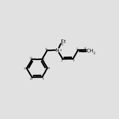 C=C/C=C\N(CC)Cc1ccccc1